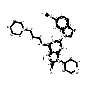 [C-]#[N+]c1ccc2ncn(-c3nc(NCCCN4CCCCC4)c4[nH]c(=O)n(C5CCOCC5)c4n3)c2c1